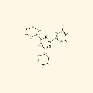 Cc1ccnc(-c2nc(N3CCOCC3)nc(N3CCOCC3)n2)c1